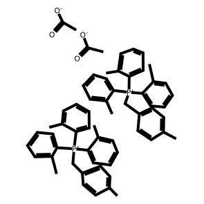 CC(=O)[O-].CC(=O)[O-].Cc1ccc(C[P+](c2ccccc2C)(c2ccccc2C)c2ccccc2C)cc1.Cc1ccc(C[P+](c2ccccc2C)(c2ccccc2C)c2ccccc2C)cc1